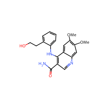 COc1cc2ncc(C(N)=O)c(Nc3ccccc3CCO)c2cc1OC